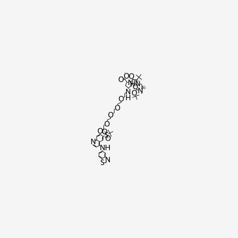 COC(=O)C1CC(NCCOCCOCCOCCOCCOc2cc3nccc(Nc4ccc5scnc5c4)c3cc2S(=O)(=O)C(C)(C)C)CN1C(=O)[C@@H](NC[C@H](C)N(C)C(=O)OC(C)(C)C)C(C)(C)C